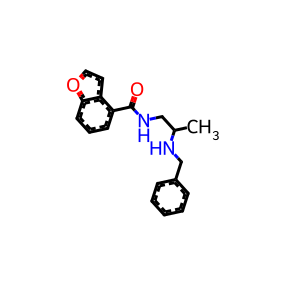 CC(CNC(=O)c1cccc2occc12)NCc1ccccc1